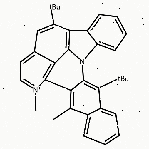 Cc1c2ccccc2c(C(C)(C)C)c2c1c1c3c(cc[n+]1C)cc(C(C)(C)C)c1c4ccccc4n2c13